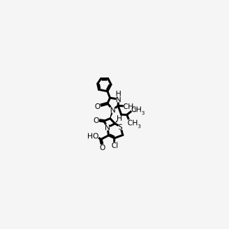 CC(C)CC1(C)NC(c2ccccc2)C(=O)N1[C@@H]1C(=O)N2C(C(=O)O)=C(Cl)CS[C@H]12